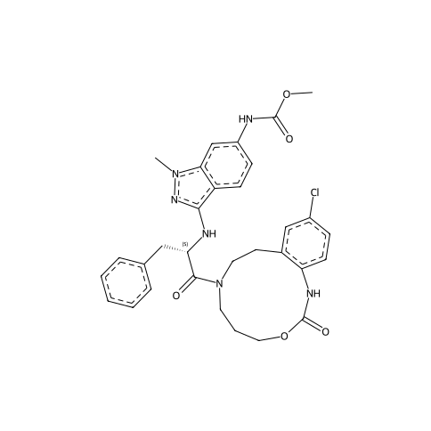 COC(=O)Nc1ccc2c(N[C@@H](Cc3ccccc3)C(=O)N3CCCOC(=O)Nc4ccc(Cl)cc4CC3)nn(C)c2c1